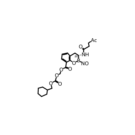 CC(=O)CCC(=O)N[C@H]1Cc2cccc(C(=O)OCOC(=O)OCC3CCCCC3)c2OB1N=O